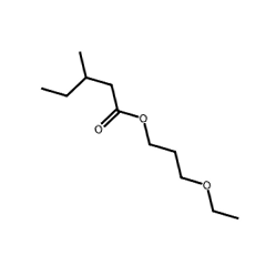 CCOCCCOC(=O)CC(C)CC